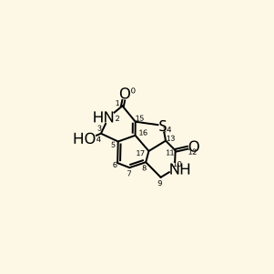 O=C1NC(O)C2=CC=C3CNC(=O)C4SC1=C2C34